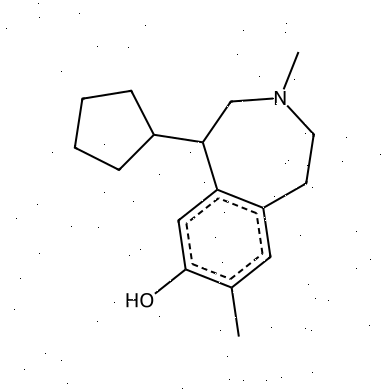 Cc1cc2c(cc1O)C(C1CCCC1)CN(C)CC2